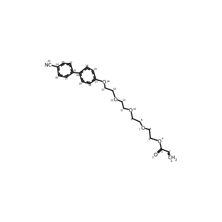 C=CC(=O)OCCOCCOCCOCCOc1ccc(-c2ccc(C#N)cc2)cc1